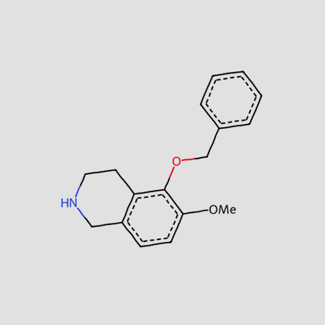 COc1ccc2c(c1OCc1ccccc1)CCNC2